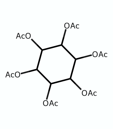 CC(=O)OC1C(OC(C)=O)C(OC(C)=O)C(OC(C)=O)C(OC(C)=O)C1OC(C)=O